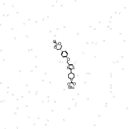 CC(C)(C)OC(=O)N1CCC(c2nc(COc3ccc([C@H]4CO[S@](=O)OC4)cc3)cs2)CC1